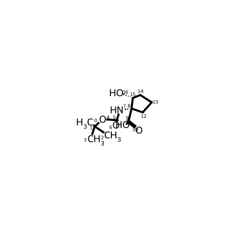 CC(C)(C)OC(=O)N[C@@]1(C(=O)O)CCC[C@H]1O